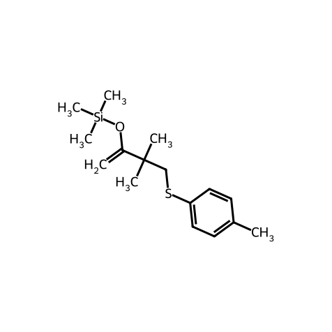 C=C(O[Si](C)(C)C)C(C)(C)CSc1ccc(C)cc1